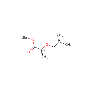 C=C(C)CO[C@@H](C)C(=O)OC(C)(C)C